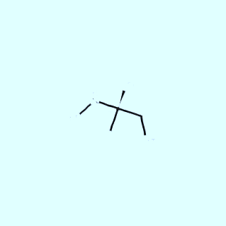 CCN[C@@](C)(CC(C)C)C(C)C